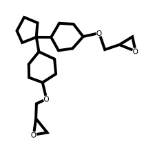 C1CCC(C2CCC(OCC3CO3)CC2)(C2CCC(OCC3CO3)CC2)C1